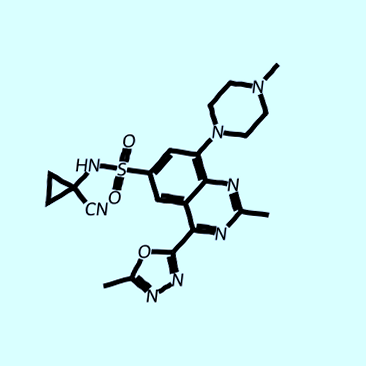 Cc1nc(-c2nnc(C)o2)c2cc(S(=O)(=O)NC3(C#N)CC3)cc(N3CCN(C)CC3)c2n1